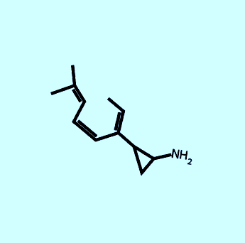 C/C=C(\C=C/C=C(C)C)C1CC1N